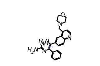 NC(N)=N/C(=C(\N)c1ccc2nccc(CN3CCOCC3)c2c1)c1ccccc1